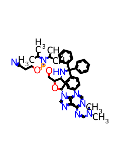 CC(C)N(C(C)C)P(OCCC#N)OCC1O[C@@H](n2cnc3c(/N=C\N(C)C)ncnc32)C[C@H]1NC(c1ccccc1)(c1ccccc1)c1ccccc1